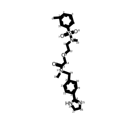 Cc1cccc(S(=O)(=O)N(C)CCOCC(=O)N(C)Cc2ccc(C3=NCCN3)cc2)c1